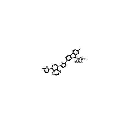 CCCCCCCCC1(CCCCCCCC)c2cc(C)ccc2-c2ccc(-c3ccc(-c4ccc(-c5ccc(C)s5)c5nccnc45)s3)cc21